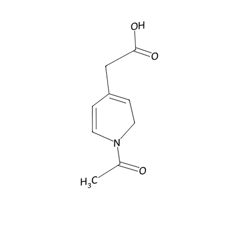 CC(=O)N1C=CC(CC(=O)O)=CC1